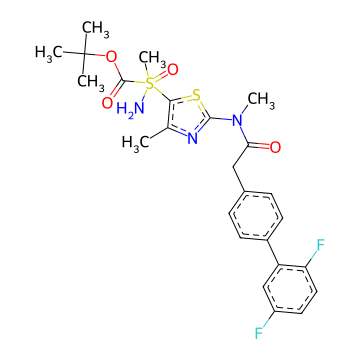 Cc1nc(N(C)C(=O)Cc2ccc(-c3cc(F)ccc3F)cc2)sc1S(C)(N)(=O)C(=O)OC(C)(C)C